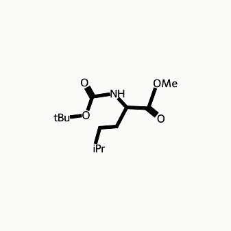 COC(=O)C(CCC(C)C)NC(=O)OC(C)(C)C